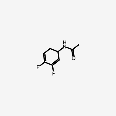 CC(=O)NC1C=C(F)C(F)=CC1